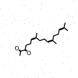 CC(=O)C(=O)CCC=C(C)CCC=C(C)CCC=C(C)C